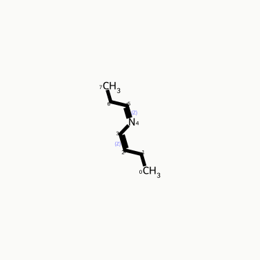 CC/[C]=C\N=[C]/CC